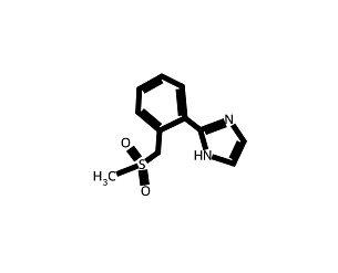 CS(=O)(=O)Cc1ccccc1-c1ncc[nH]1